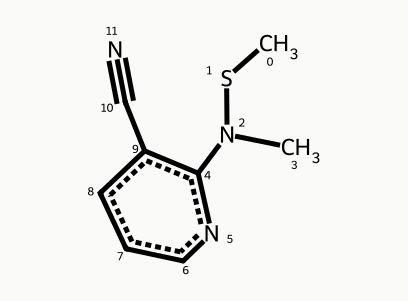 CSN(C)c1ncccc1C#N